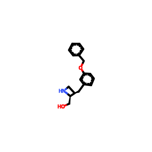 OC[C@H]1NC[C@H]1Cc1cccc(OCc2ccccc2)c1